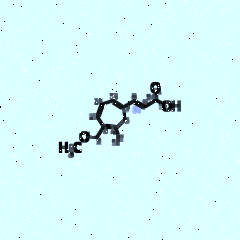 COCC1=C(F)CC(/C=C/C(=O)O)=CC=C1